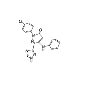 O=c1cc(Nc2ccccc2)c(-c2nc[nH]n2)nn1-c1ccc(Cl)cc1